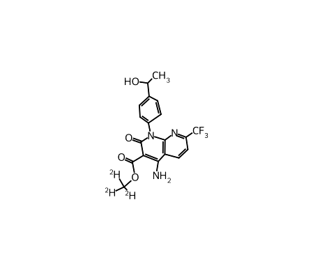 [2H]C([2H])([2H])OC(=O)c1c(N)c2ccc(C(F)(F)F)nc2n(-c2ccc(C(C)O)cc2)c1=O